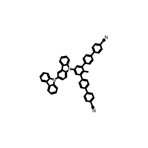 Cc1c(-c2ccc(-c3ccc(C#N)cc3)cc2)cc(-n2c3ccccc3c3cc(-n4c5ccccc5c5ccccc54)ccc32)cc1-c1ccc(-c2ccc(C#N)cc2)cc1